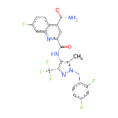 Cc1c(NC(=O)c2cc(C(N)=O)c3ccc(F)cc3n2)c(C(F)(F)F)nn1Cc1ccc(F)cc1F